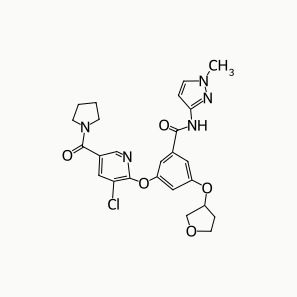 Cn1ccc(NC(=O)c2cc(Oc3ncc(C(=O)N4CCCC4)cc3Cl)cc(OC3CCOC3)c2)n1